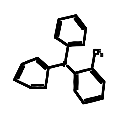 FC(F)(F)c1ccccc1P(c1ccccc1)c1ccccc1